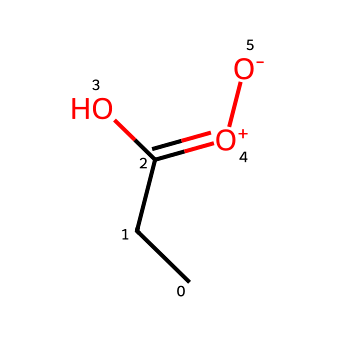 CCC(O)=[O+][O-]